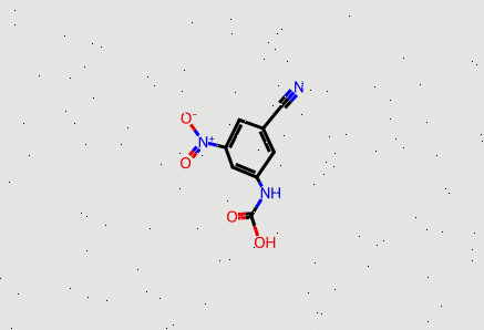 N#Cc1cc(NC(=O)O)cc([N+](=O)[O-])c1